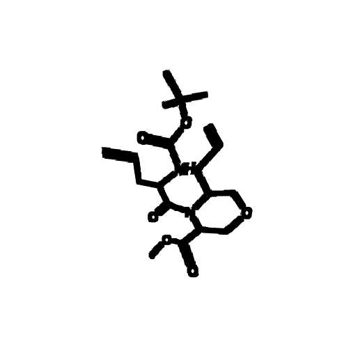 C=CCC(NC(=O)OC(C)(C)C)C(=O)N1C(CC=C)COCC1C(=O)OC